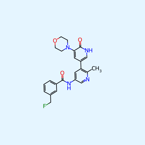 Cc1ncc(NC(=O)c2cccc(CF)c2)cc1-c1c[nH]c(=O)c(N2CCOCC2)c1